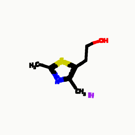 Cc1nc(C)c(CCO)s1.I